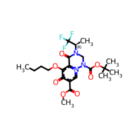 CCCCOc1c2n(cc(C(=O)OC)c1=O)N(C(=O)OC(C)(C)C)CN([C@H](C)C(F)(F)F)C2=O